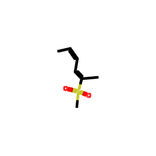 C/C=C\C=C(/C)S(C)(=O)=O